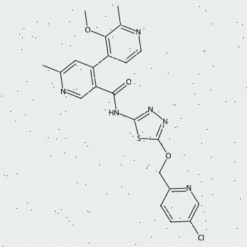 COc1c(-c2cc(C)ncc2C(=O)Nc2nnc(OCc3ccc(Cl)cn3)s2)ccnc1C